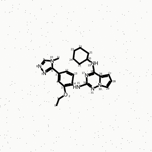 CCOc1cc(-c2nncn2C)ccc1Nc1nc(NC2CCCCC2)c2cccn2n1